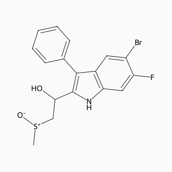 C[S+]([O-])CC(O)c1[nH]c2cc(F)c(Br)cc2c1-c1ccccc1